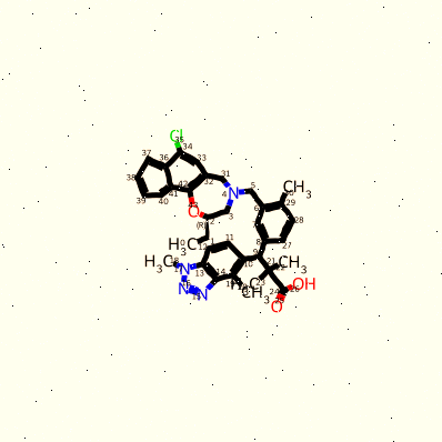 CC[C@@H]1CN(Cc2cc(C(c3ccc4c(nnn4C)c3C)C(C)(C)C(=O)O)ccc2C)Cc2cc(Cl)c3ccccc3c2O1